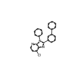 Clc1ccnc2c1nc(-c1cccc(-c3ccccc3)c1)n2-c1ccccc1